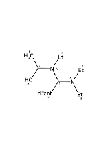 CCCCCC(N(CC)CC)N(CC)C(C)O